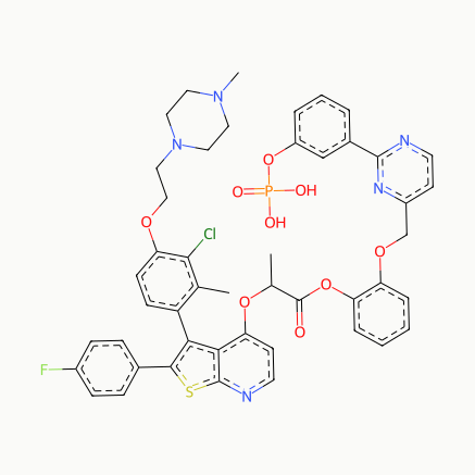 Cc1c(-c2c(-c3ccc(F)cc3)sc3nccc(OC(C)C(=O)Oc4ccccc4OCc4ccnc(-c5cccc(OP(=O)(O)O)c5)n4)c23)ccc(OCCN2CCN(C)CC2)c1Cl